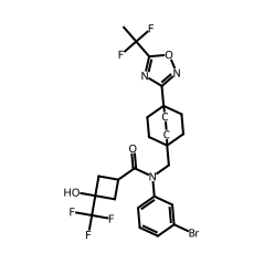 CC(F)(F)c1nc(C23CCC(CN(C(=O)C4CC(O)(C(F)(F)F)C4)c4cccc(Br)c4)(CC2)CC3)no1